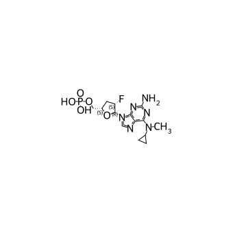 CN(c1nc(N)nc2c1ncn2[C@@H]1O[C@H](COP(=O)(O)O)C[C@@H]1F)C1CC1